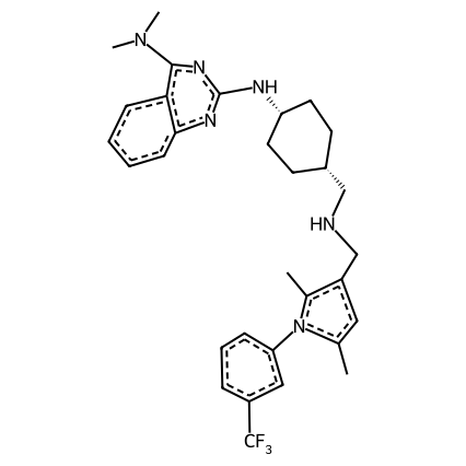 Cc1cc(CNC[C@H]2CC[C@@H](Nc3nc(N(C)C)c4ccccc4n3)CC2)c(C)n1-c1cccc(C(F)(F)F)c1